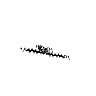 CC(N)O.CCCCCCCCCCCCOCCCCCCCCCCCC.O=S(=O)(O)O